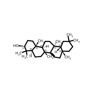 CC1(C)CC[C@]2(C)CC=C3[C@]4(C)CC[C@H]5C(C)(C)[C@@H](O)CC[C@]5(C)[C@H]4CC[C@@]3(C)[C@@H]2C1